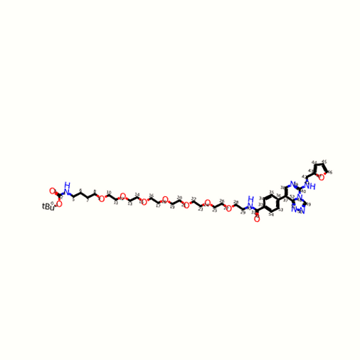 CC(C)(C)OC(=O)NCCCCOCCOCCOCCOCCOCCOCCOCCNC(=O)c1ccc(-c2cnc(NCc3ccco3)n3cnnc23)cc1